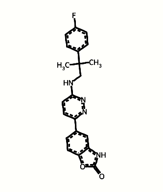 CC(C)(CNc1ccc(-c2ccc3oc(=O)[nH]c3c2)nn1)c1ccc(F)cc1